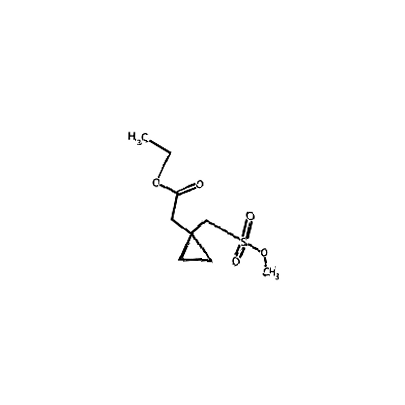 CCOC(=O)CC1(CS(=O)(=O)OC)CC1